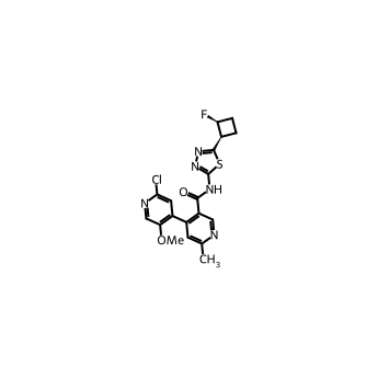 COc1cnc(Cl)cc1-c1cc(C)ncc1C(=O)Nc1nnc([C@@H]2CC[C@@H]2F)s1